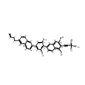 C=CCCc1ccc2cc(-c3cc(F)c(-c4ccc5c(F)c(C#CC(F)(F)F)c(F)cc5c4)c(F)c3)ccc2c1